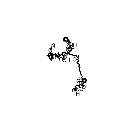 Cc1cc(N(CCCCN(C)C(=O)CCCCCCCCCOc2cccc3c2C(=O)N(C2CCC(=O)NC2=O)C3=O)c2ccc(-c3cnn(CC45CC6(C)CC(C)(C4)CC(OCCN(C)C)(C6)C5)c3C)c(C(=O)O)n2)nnc1Nc1nc2ccccc2s1